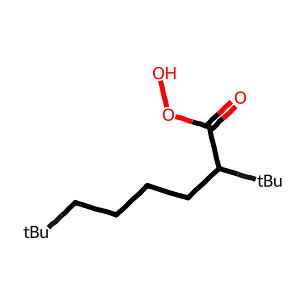 CC(C)(C)CCCCC(C(=O)OO)C(C)(C)C